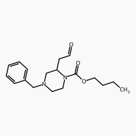 CCCCOC(=O)N1CCN(Cc2ccccc2)CC1CC=O